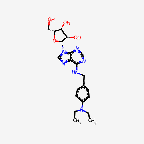 CCN(CC)c1ccc(CNc2ncnc3c2ncn3[C@@H]2O[C@H](CO)[C@@H](O)[C@H]2O)cc1